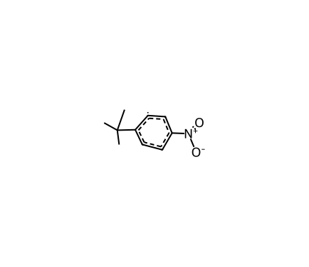 CC(C)(C)c1[c]cc([N+](=O)[O-])cc1